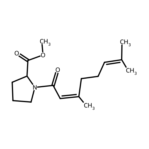 COC(=O)C1CCCN1C(=O)C=C(C)CCC=C(C)C